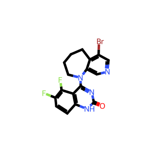 O=c1nc(N2CCCCc3c(Br)cncc32)c2c(F)c(F)ccc2[nH]1